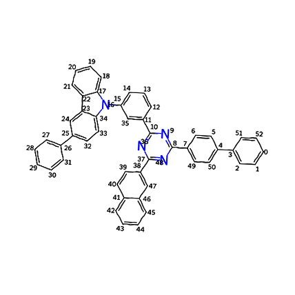 c1ccc(-c2ccc(-c3nc(-c4cccc(-n5c6ccccc6c6cc(-c7ccccc7)ccc65)c4)nc(-c4ccc5ccccc5c4)n3)cc2)cc1